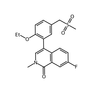 CCOc1ccc(CS(C)(=O)=O)cc1-c1cn(C)c(=O)c2cc(F)ccc12